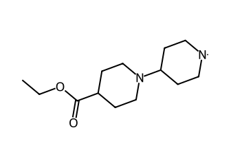 CCOC(=O)C1CCN(C2CC[N]CC2)CC1